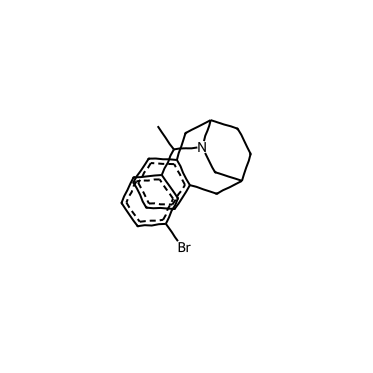 CC(c1cccc(Br)c1)N1CC2CCC1Cc1ccccc1C2